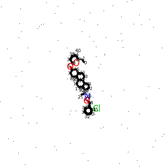 CC[C@H]1OC(OC2CC[C@@]3(C)C(=CCC4C3CC[C@@]3(C)C4CC[C@@H]3/C(C)=N/OCc3ccccc3Cl)C2)C=C[C@@H]1C